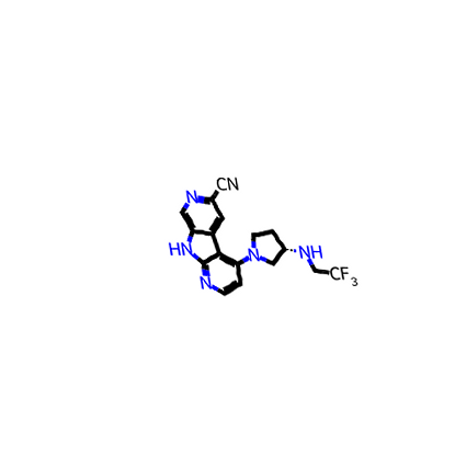 N#Cc1cc2c(cn1)[nH]c1nccc(N3CC[C@H](NCC(F)(F)F)C3)c12